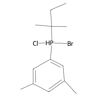 CCC(C)(C)[PH](Cl)(Br)c1cc(C)cc(C)c1